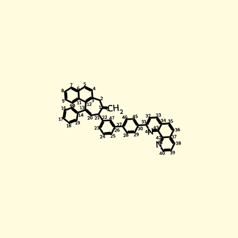 C=C1Cc2ccc3ccccc3c2C(c2ccccc2)=CC1c1cccc(-c2ccc(-c3ccc4ccc5cccnc5c4n3)cc2)c1